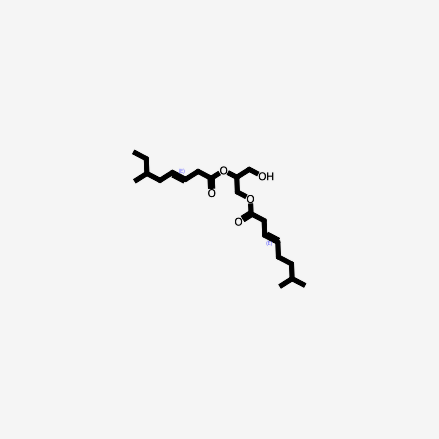 CCC(C)C/C=C/CC(=O)OC(CO)COC(=O)C/C=C/CCC(C)C